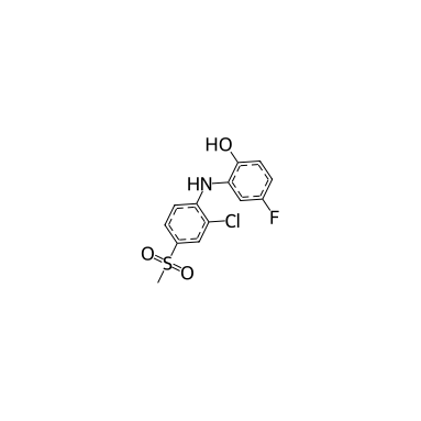 CS(=O)(=O)c1ccc(Nc2cc(F)ccc2O)c(Cl)c1